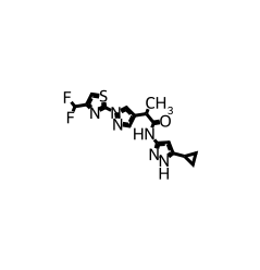 CC(C(=O)Nc1cc(C2CC2)[nH]n1)c1cnn(-c2nc(C(F)F)cs2)c1